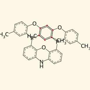 Cc1ccc2c(c1)P(c1cccc3c1Oc1c(cccc1P1c4cc(C)ccc4Oc4ccc(C)cc41)N3)c1cc(C)ccc1O2